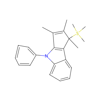 CC1=C(C)C(C)(S(C)(C)C)c2c1n(-c1ccccc1)c1ccccc21